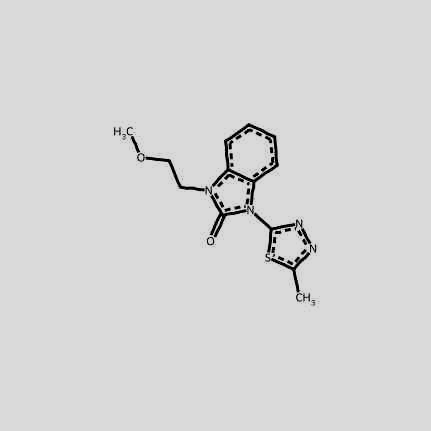 COCCn1c(=O)n(-c2nnc(C)s2)c2ccccc21